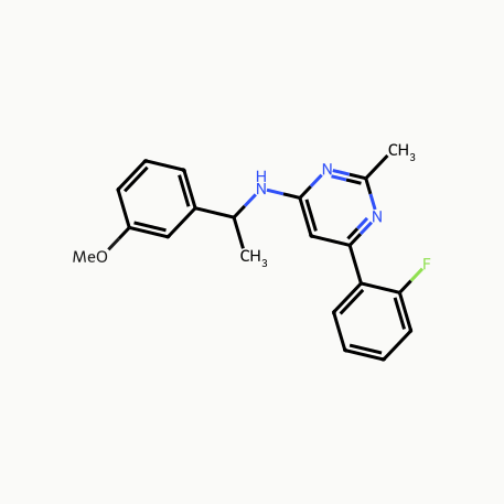 COc1cccc(C(C)Nc2cc(-c3ccccc3F)nc(C)n2)c1